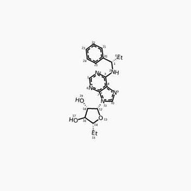 CC[C@H](Nc1ncnc2c1ncn2[C@@H]1O[C@H](CC)C(O)[C@@H]1O)c1ccccc1